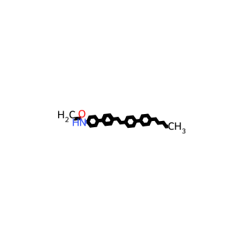 C=CC(=O)NC1CCC(c2ccc(CCC3CCC(C4CCC(CCCCC)CC4)CC3)cc2)CC1